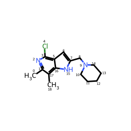 Cc1nc(Cl)c2cc(CN3CCCCC3)[nH]c2c1C